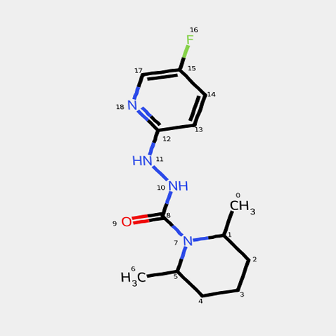 CC1CCCC(C)N1C(=O)NNc1ccc(F)cn1